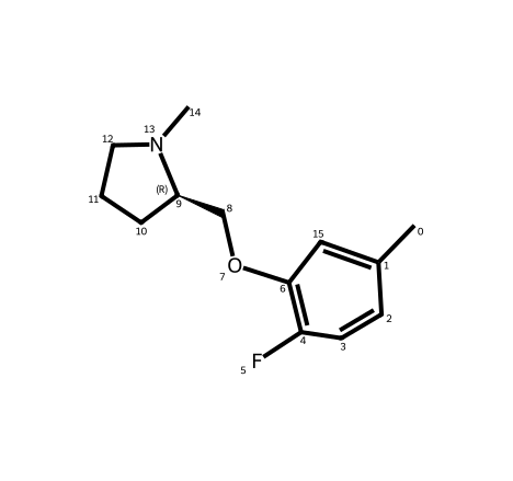 Cc1ccc(F)c(OC[C@H]2CCCN2C)c1